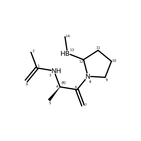 C=C(C)N[C@H](C)C(=C)N1CCCC1BC